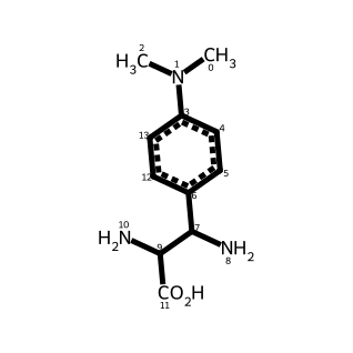 CN(C)c1ccc(C(N)C(N)C(=O)O)cc1